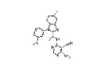 CSc1cccc(-n2c(C(C)Nc3ncnc(N)c3C#N)nc3cc(F)ccc32)c1